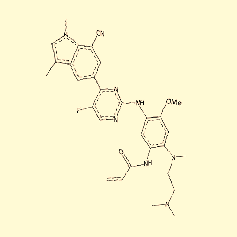 C=CC(=O)Nc1cc(Nc2ncc(F)c(-c3cc(C#N)c4c(c3)c(C)cn4C)n2)c(OC)cc1N(C)CCN(C)C